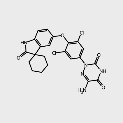 Nc1nn(-c2cc(Cl)c(Oc3ccc4c(c3)C3(CCCCC3)C(=O)N4)c(Cl)c2)c(=O)[nH]c1=O